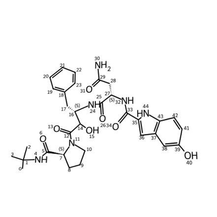 CC(C)(C)NC(=O)[C@@H]1CCCN1C(=O)C(O)[C@H](Cc1ccccc1)NC(=O)[C@H](CC(N)=O)NC(=O)c1cc2cc(O)ccc2[nH]1